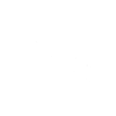 C=C(C)C(=O)C(O)COC(=O)CCC(=O)O